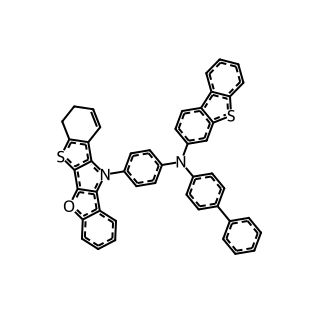 C1=Cc2c(sc3c4oc5ccccc5c4n(-c4ccc(N(c5ccc(-c6ccccc6)cc5)c5ccc6c(c5)sc5ccccc56)cc4)c23)CC1